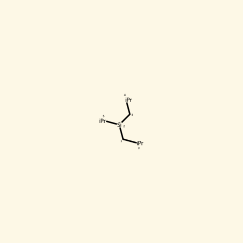 CC(C)C[Si](CC(C)C)C(C)C